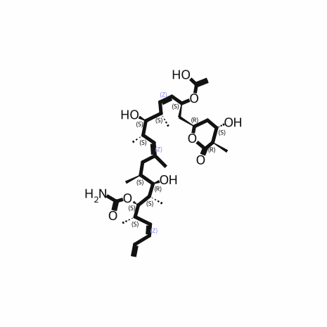 C=C/C=C\[C@H](C)[C@H](OC(N)=O)[C@@H](C)[C@H](O)[C@@H](C)C/C(C)=C\[C@H](C)[C@@H](O)[C@@H](C)/C=C\[C@H](C[C@H]1C[C@H](O)[C@@H](C)C(=O)O1)OC(=C)O